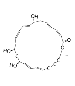 C[C@@H]1CCC/C=C/C=C/[C@@H](O)C[C@@H](O)C/C=C\C=C\[C@H](O)C/C=C/C=C\C(=O)O1